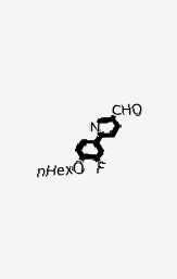 CCCCCCOc1ccc(-c2ccc(C=O)cn2)cc1F